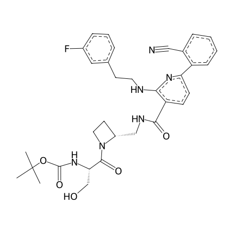 CC(C)(C)OC(=O)N[C@@H](CO)C(=O)N1CC[C@@H]1CNC(=O)c1ccc(-c2ccccc2C#N)nc1NCCc1cccc(F)c1